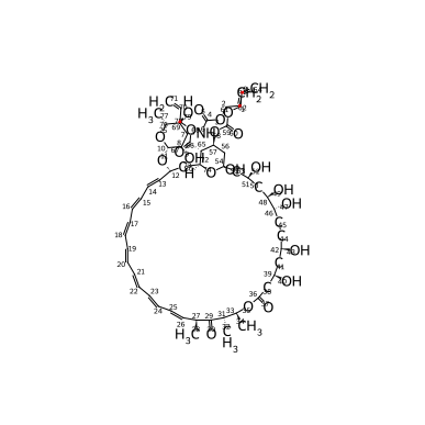 C=CCOC(=O)N[C@@H]1[C@H](O)[C@H](O[C@H]2/C=C/C=C/C=C/C=C/C=C/C=C/C=C/[C@H](C)C(=O)[C@@H](C)[C@H](C)OC(=O)C[C@H](O)C[C@H](O)CC[C@@H](O)[C@H](O)C[C@H](O)C[C@]3(O)C[C@H](OC(=O)OCC=C)[C@@H](C(=O)OCC=C)[C@H](C2)O3)O[C@H](C)[C@H]1O